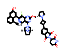 C#Cc1cccc2cc(O)cc(-c3ncc4c(N5C[C@H]6CC[C@@H](C5)N6)nc(OC[C@@H]5CCCN5C5CC(c6ccc7c(c6)C(=O)N(C6CCC(=O)NC6=O)C7=O)C5)nc4c3F)c12